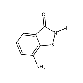 Nc1cccc2c(=O)n(I)sc12